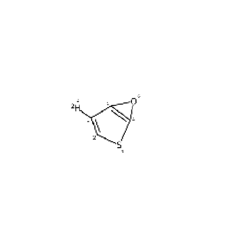 [2H]c1csc2c1O2